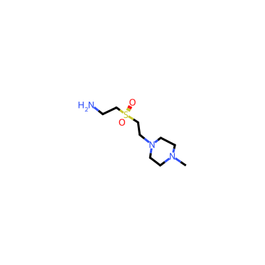 CN1CCN(CCS(=O)(=O)CCN)CC1